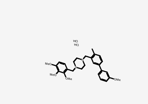 COc1cccc(-c2ccc(C)c(CN3CCN(Cc4ccc(OC)c(OC)c4OC)CC3)c2)c1.Cl.Cl